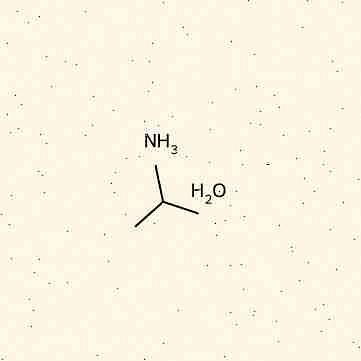 CC(C)C.N.O